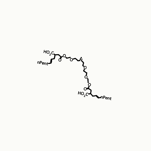 CCCCC/C=C/CC(CC(=O)OCCOCCOCCN(C)CCOCCOC(=O)CC(C/C=C/CCCCC)C(=O)O)C(=O)O